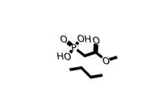 CCCC.COC(=O)CP(=O)(O)O